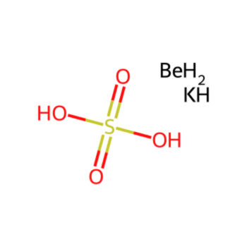 O=S(=O)(O)O.[BeH2].[KH]